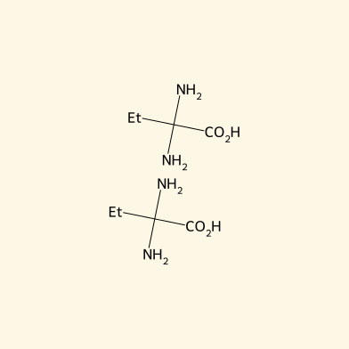 CCC(N)(N)C(=O)O.CCC(N)(N)C(=O)O